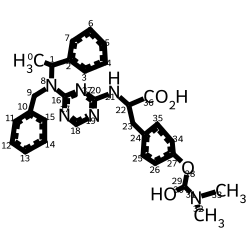 CC(c1ccccc1)N(Cc1ccccc1)c1ncnc(NC(Cc2ccc(OC(O)N(C)C)cc2)C(=O)O)n1